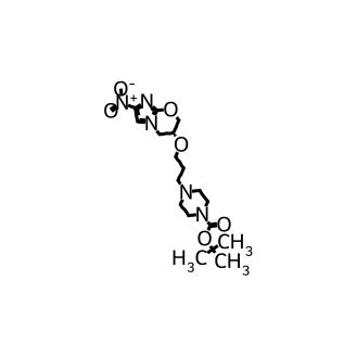 CC(C)(C)OC(=O)N1CCN(CCCO[C@@H]2COc3nc([N+](=O)[O-])cn3C2)CC1